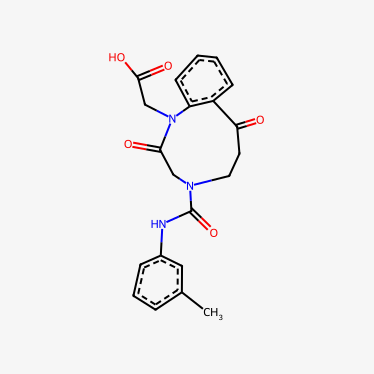 Cc1cccc(NC(=O)N2CCC(=O)c3ccccc3N(CC(=O)O)C(=O)C2)c1